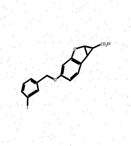 CCOC(=O)C1C2Oc3cc(OCc4cccc(I)c4)ccc3C21